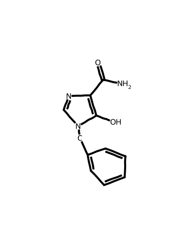 NC(=O)c1ncn(Cc2ccccc2)c1O